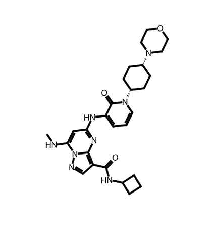 CNc1cc(Nc2cccn([C@H]3CC[C@@H](N4CCOCC4)CC3)c2=O)nc2c(C(=O)NC3CCC3)cnn12